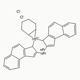 CCCC1=Cc2c(ccc3ccccc23)[CH]1[Hf+2]1([CH]2C(CCC)=Cc3c2ccc2ccccc32)[CH]2CCCC[CH]21.[Cl-].[Cl-]